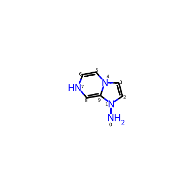 NN1C=CN2C=CNC=C12